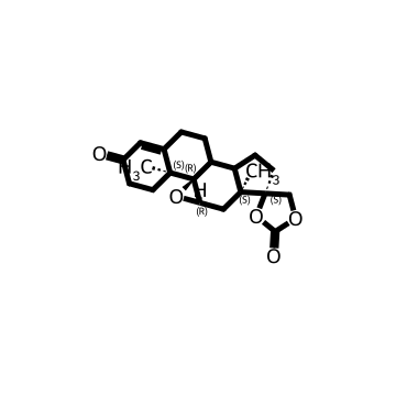 C[C@]12CCC(=O)C=C1CCC1C3CC[C@@]4(COC(=O)O4)[C@@]3(C)C[C@H]3O[C@@]132